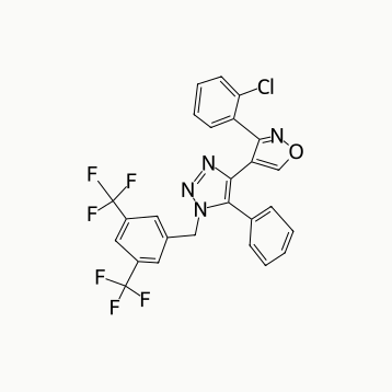 FC(F)(F)c1cc(Cn2nnc(-c3conc3-c3ccccc3Cl)c2-c2ccccc2)cc(C(F)(F)F)c1